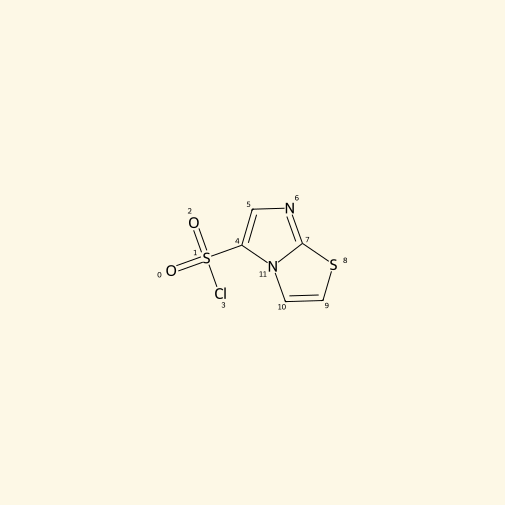 O=S(=O)(Cl)c1cnc2sccn12